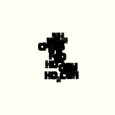 Nc1nc(Cl)nc2c1ncn2[C@@H]1O[C@H](CO[C@@H](C(=O)O)P(=O)(O)O)[C@@H](O)[C@@H]1F